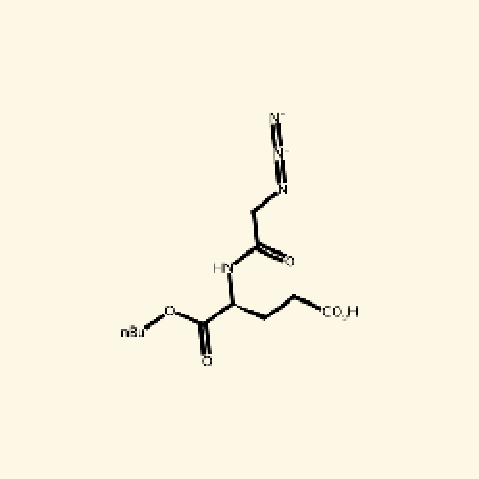 CCCCOC(=O)[C@H](CCC(=O)O)NC(=O)CN=[N+]=[N-]